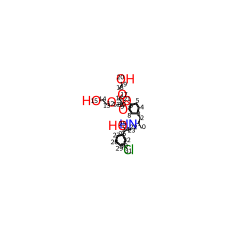 C[C@H](Cc1ccc2c(c1)OC(COCCO)(COCCO)O2)NC[C@H](O)c1cccc(Cl)c1